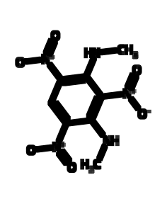 CNc1c([N+](=O)[O-])cc([N+](=O)[O-])c(NC)c1[N+](=O)[O-]